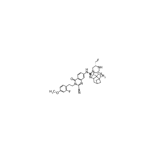 COc1ccc(CCn2c(C#N)nc3cc(NC(=NC4CC5CC(C)(C5)C4(C)C)N4CCN[C@@H](CF)C4)ccc3c2=O)c(F)c1